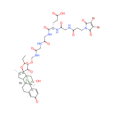 CCC(=O)O[C@]1(C(=O)COCNC(=O)CNC(=O)CNC(=O)[C@H](CCC(=O)O)NC(=O)CNC(=O)CCN2C(=O)C(Br)=C(Br)C2=O)[C@@H](C)CC2[C@@H]3CCC4=CC(=O)C=C[C@]4(C)[C@@]3(Cl)[C@@H](O)C[C@@]21C